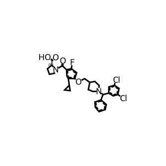 O=C(O)[C@@H]1CCCN1C(=O)c1cc(C2CC2)c(OCC2CCN(C(c3ccccc3)c3cc(Cl)cc(Cl)c3)CC2)cc1F